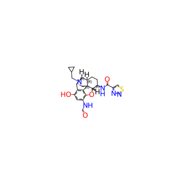 O=CNc1cc(O)c2c3c1O[C@H]1[C@H](NC(=O)c4csnn4)CC[C@H]4[C@@H](C2)N(CC2CC2)CC[C@@]341